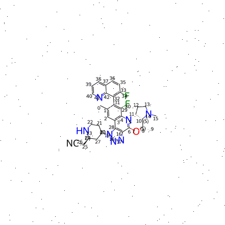 Cc1cc2c(nc(O[C@@H](C)[C@@H]3CCCN3C)c3nnn([C@H]4CCN[C@H](CC#N)C4)c32)c(F)c1-c1c(F)ccc2cccnc12